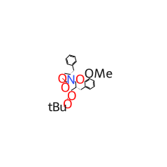 COc1cccc(C[C@H](COCOC(C)(C)C)C(=O)N2C(=O)OC[C@@H]2Cc2ccccc2)c1